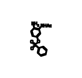 CC(=O)Nc1cc(OS(=O)(=O)c2ccccc2)ccc1N